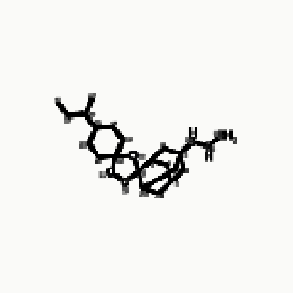 BBBC12CC3CC(C1)C1(OOC4(CCC(/C(C)=C/C)CC4)O1)C(C3)C2